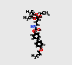 C=CCOc1ccc(-c2ccc(OC(=O)NCCC[Si](OCC)(OCC)OCC)cc2)cc1